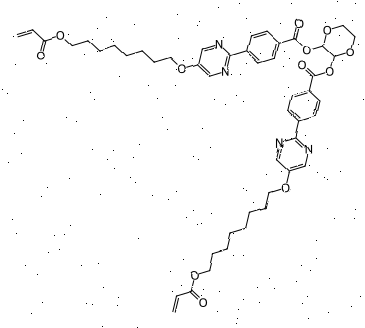 C=CC(=O)OCCCCCCCCOc1cnc(-c2ccc(C(=O)OC3OCCOC3OC(=O)c3ccc(-c4ncc(OCCCCCCCCOC(=O)C=C)cn4)cc3)cc2)nc1